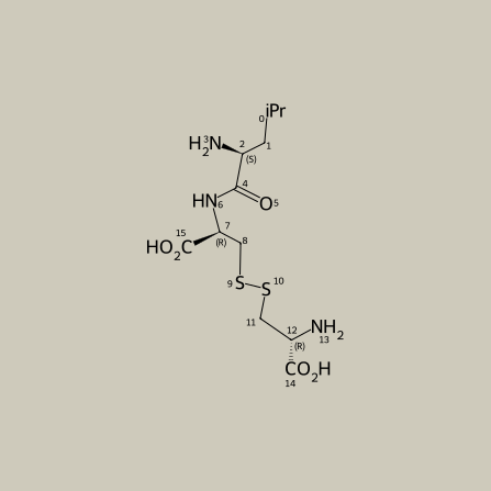 CC(C)C[C@H](N)C(=O)N[C@@H](CSSC[C@H](N)C(=O)O)C(=O)O